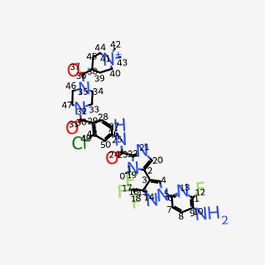 Cn1c(-c2cn(-c3ccc(N)c(F)n3)nc2C(F)(F)F)cnc1C(=O)Nc1ccc(C(=O)N2CCN(C(=O)C3CC[N+](C)(C)CC3)CC2)c(Cl)c1